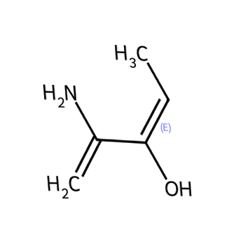 C=C(N)/C(O)=C\C